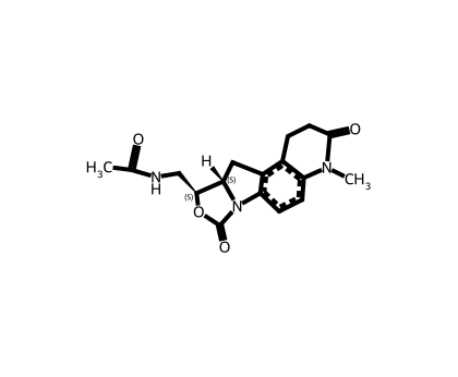 CC(=O)NC[C@@H]1OC(=O)N2c3ccc4c(c3C[C@@H]12)CCC(=O)N4C